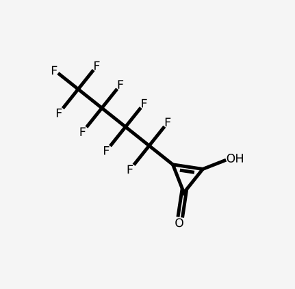 O=c1c(O)c1C(F)(F)C(F)(F)C(F)(F)C(F)(F)F